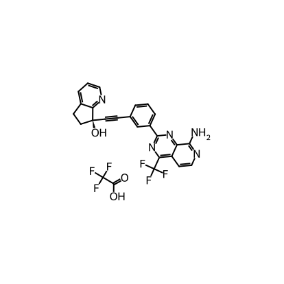 Nc1nccc2c(C(F)(F)F)nc(-c3cccc(C#C[C@]4(O)CCc5cccnc54)c3)nc12.O=C(O)C(F)(F)F